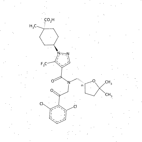 CC1(C)CC[C@H](CN(CC(=O)c2c(Cl)cccc2Cl)C(=O)c2cnn([C@H]3CC[C@](C)(C(=O)O)CC3)c2C(F)(F)F)O1